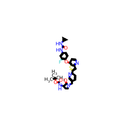 CC(C)(C)OC(=O)NC1CCN(Cc2ccc(-c3cc4nccc(Oc5ccc(NC(=O)NC6CC6)cc5F)c4s3)nc2)C1=O